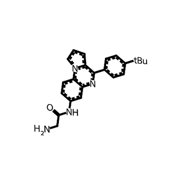 CC(C)(C)c1ccc(-c2nc3cc(NC(=O)CN)ccc3n3cccc23)cc1